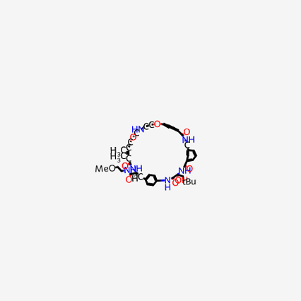 COCCNC(=O)[C@@H]1Cc2ccc(cc2)NC(=O)C(O)(CC(C)(C)C)NC(=O)c2cccc(c2)CNC(=O)c2ccc(cc2)OCCNCOCCC(C)(C)CC(=O)N1